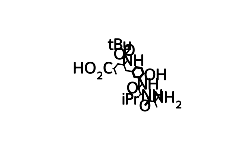 CC(N)C(=O)NC(C(=O)Nc1cc(CC(CC(C)C(=O)O)NC(=O)OC(C)(C)C)ccc1O)C(C)C